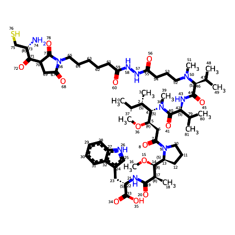 CC[C@H](C)[C@@H]([C@@H](CC(=O)N1CCC[C@H]1[C@H](OC)[C@@H](C)C(=O)N[C@@H](Cc1c[nH]c2ccccc12)C(=O)O)OC)N(C)C(=O)[C@@H](NC(=O)[C@H](C(C)C)N(C)CCCC(=O)NNC(=O)CCCCCN1C(=O)CC(C(=O)[C@@H](N)CS)C1=O)C(C)C